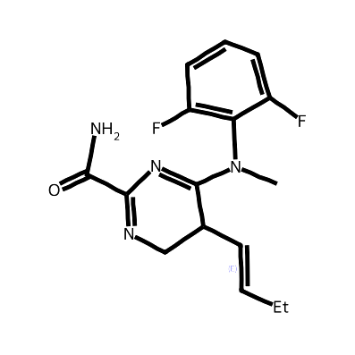 CC/C=C/C1CN=C(C(N)=O)N=C1N(C)c1c(F)cccc1F